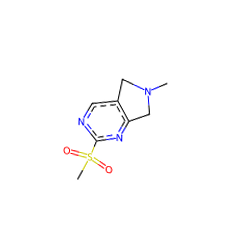 CN1Cc2cnc(S(C)(=O)=O)nc2C1